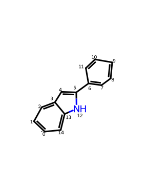 [c]1ccc2cc(-c3ccccc3)[nH]c2c1